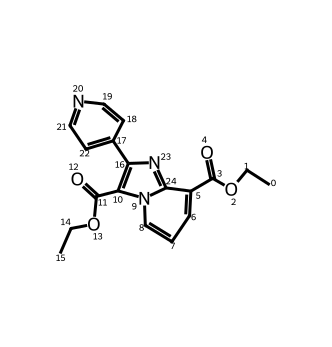 CCOC(=O)c1cccn2c(C(=O)OCC)c(-c3ccncc3)nc12